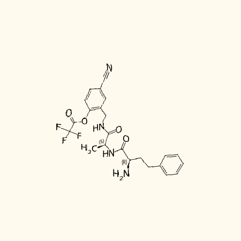 C[C@H](NC(=O)[C@H](N)CCc1ccccc1)C(=O)NCc1cc(C#N)ccc1OC(=O)C(F)(F)F